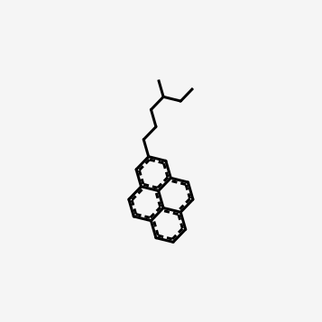 CCC(C)CCCc1cc2ccc3cccc4ccc(c1)c2c34